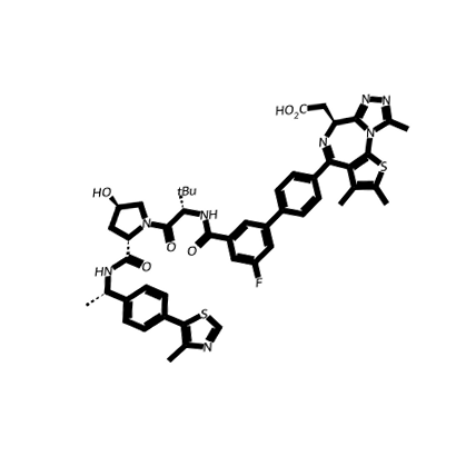 Cc1ncsc1-c1ccc([C@H](C)NC(=O)[C@@H]2C[C@@H](O)CN2C(=O)[C@@H](NC(=O)c2cc(F)cc(-c3ccc(C4=N[C@@H](CC(=O)O)c5nnc(C)n5-c5sc(C)c(C)c54)cc3)c2)C(C)(C)C)cc1